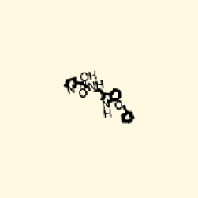 O=C(NCCc1c[nH]c2c(OCc3ccccc3)cccc12)[C@H](O)c1cccnc1